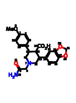 COc1ccc(C2CN(CC(N)=O)CC(c3ccc4c(c3)OCO4)C2C(=O)O)cc1